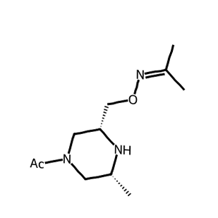 CC(=O)N1C[C@H](CON=C(C)C)N[C@H](C)C1